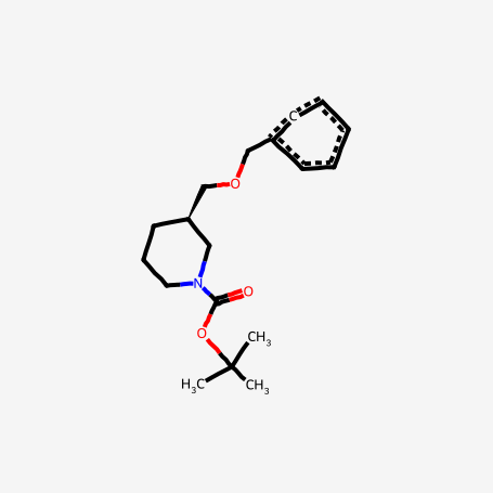 CC(C)(C)OC(=O)N1CCC[C@@H](COCc2ccccc2)C1